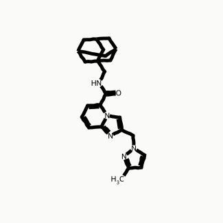 Cc1ccn(Cc2cn3c(C(=O)NCC45CC6CC(CC(C6)C4)C5)cccc3n2)n1